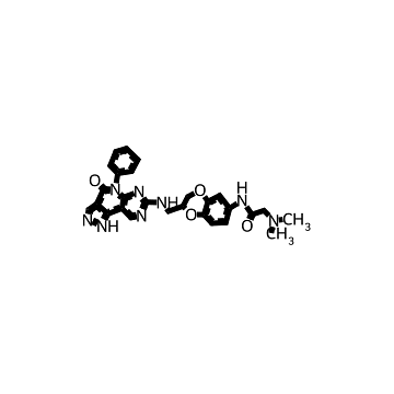 CN(C)CC(=O)Nc1ccc2c(c1)OCC(CNc1ncc3c4[nH]ncc4c(=O)n(-c4ccccc4)c3n1)O2